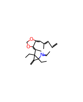 C=C/C=C(C)/C=C1/OCO/C1=C(/C)C1(CC)C(=C)C1(CC)/N=C/C